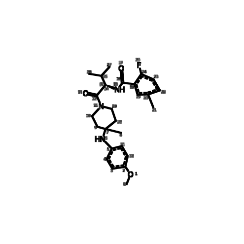 COc1ccc(NC2(C)CCN(C(=O)[C@H](NC(=O)c3cc(C)ccc3F)C(C)C)CC2)cc1